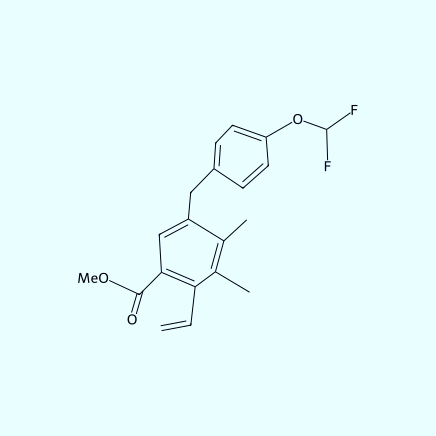 C=Cc1c(C(=O)OC)cc(Cc2ccc(OC(F)F)cc2)c(C)c1C